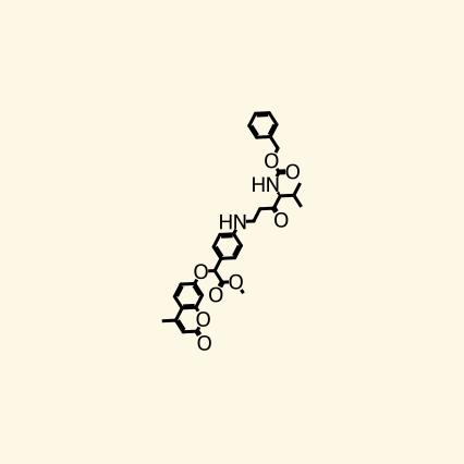 COC(=O)C(Oc1ccc2c(C)cc(=O)oc2c1)c1ccc(NCCC(=O)[C@@H](NC(=O)OCc2ccccc2)C(C)C)cc1